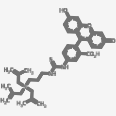 C=C(C)C[Si](CCCNC(=S)Nc1ccc(-c2c3ccc(=O)cc-3oc3cc(O)ccc23)c(C(=O)O)c1)(CC(=C)C)CC(=C)C